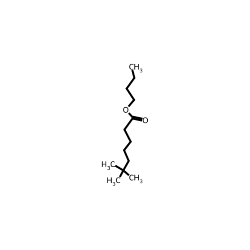 CCCCOC(=O)CCCCC(C)(C)C